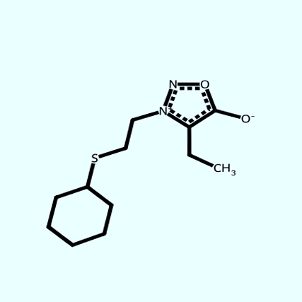 CCc1c([O-])on[n+]1CCSC1CCCCC1